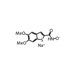 COc1cc2cc(C(=O)N[O-])sc2cc1OC.[Na+]